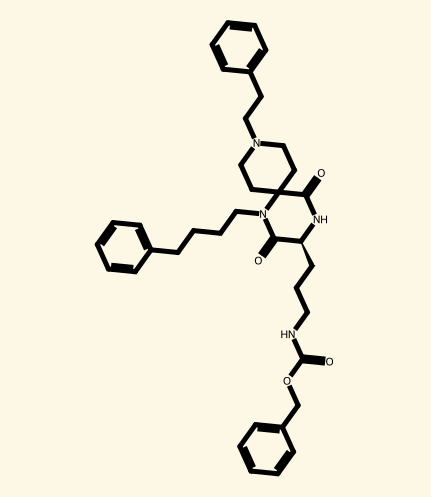 O=C(NCCC[C@@H]1NC(=O)C2(CCN(CCc3ccccc3)CC2)N(CCCCc2ccccc2)C1=O)OCc1ccccc1